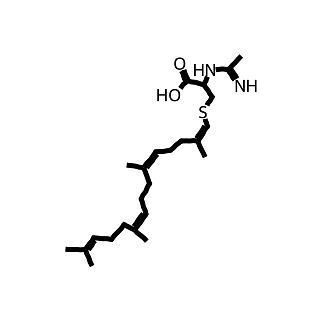 CC(=N)NC(CSC=C(C)CCC=C(C)CCC=C(C)CCC=C(C)C)C(=O)O